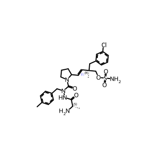 Cc1ccc(CN(NC(=O)[C@H](C)N)C(=O)N2CCCC2/C=C/[C@](C)(COS(N)(=O)=O)Cc2cccc(Cl)c2)cc1